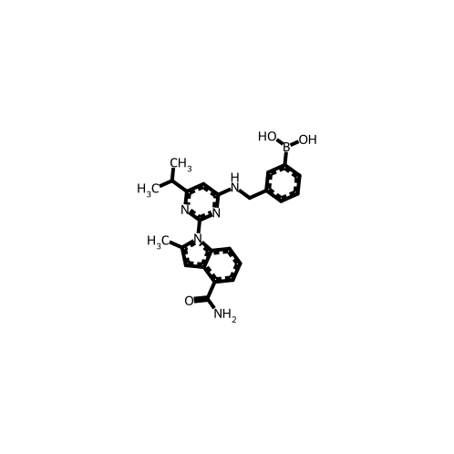 Cc1cc2c(C(N)=O)cccc2n1-c1nc(NCc2cccc(B(O)O)c2)cc(C(C)C)n1